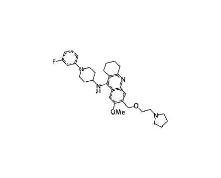 COc1cc2c(NC3CCN(c4cccc(F)c4)CC3)c3c(nc2cc1COCCN1CCCC1)CCCC3